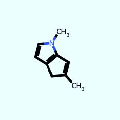 CC1=Cc2c(ccn2C)C1